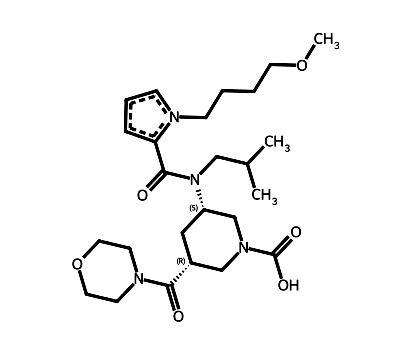 COCCCCn1cccc1C(=O)N(CC(C)C)[C@H]1C[C@@H](C(=O)N2CCOCC2)CN(C(=O)O)C1